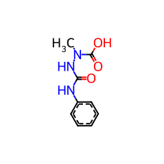 CN(NC(=O)Nc1ccccc1)C(=O)O